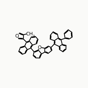 Cc1cocc1-c1c2ccccc2c(-c2cccc3c2oc2cc(-c4c5ccccc5c(-c5ccccc5)c5ccccc45)ccc23)c2ccccc12